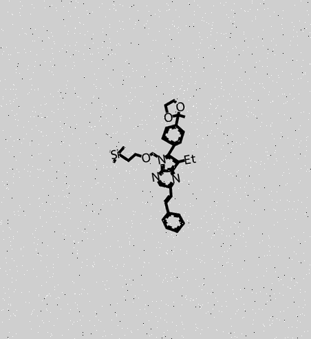 CCc1c(-c2ccc(C3(C)OCCO3)cc2)n(COCC[Si](C)(C)C)c2ncc(C=Cc3ccccc3)nc12